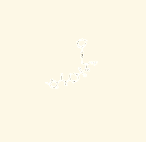 Cc1coc(C(=O)Nc2ccc(S(=O)(=O)NC(CC#Cc3ccccc3)C(=O)O)cc2)n1